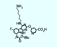 CN(C(=O)OC(C)(C)C)c1cc(F)cc2c1[nH]c1nc(Oc3cncc(C(=O)O)c3)nc(NCCCCCCN)c12